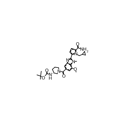 COc1cc(C(=O)N2CCC[C@@H](NC(=O)OC(C)(C)C)C2)cc2nc(-c3ccc(C(N)=O)n3CC3CC3)n(C)c12